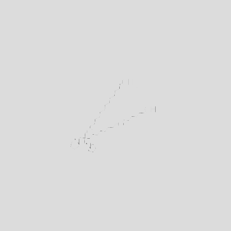 CCCCCCCCCCCCCCOCC(CCCCCCCCOCCCCCCC)(CN1CCCC1)CN1CCCC1